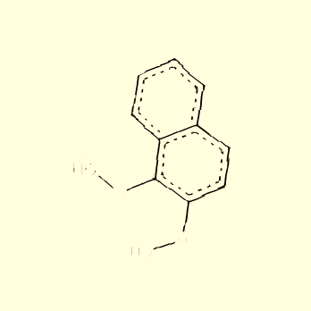 OOc1ccc2ccccc2c1OO